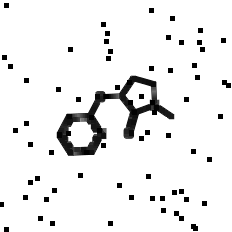 CN1CCC(Oc2ccccn2)C1=O